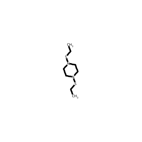 CCSN1CCN(SCC)CC1